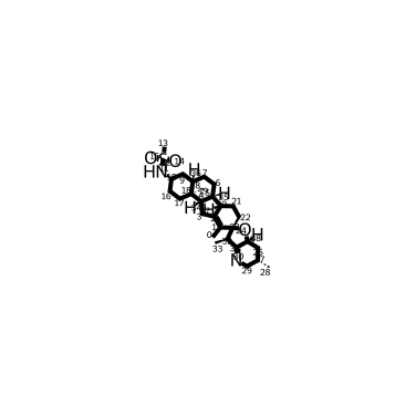 CC1=C2C[C@H]3[C@@H](CC[C@@H]4C[C@H](NS(C)(=O)=O)CC[C@@]43C)[C@@H]2CC[C@]12O[C@@H]1C[C@H](C)CN=C1[C@H]2C